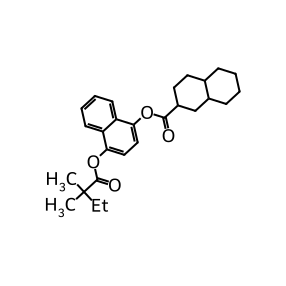 CCC(C)(C)C(=O)Oc1ccc(OC(=O)C2CCC3CCCCC3C2)c2ccccc12